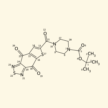 CC(C)(C)OC(=O)N1CCN(C(=O)c2cc3c(s2)C(=O)c2nsnc2C3=O)CC1